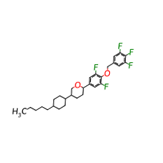 CCCCCC1CCC(C2CCC(c3cc(F)c(OCc4cc(F)c(F)c(F)c4)c(F)c3)OC2)CC1